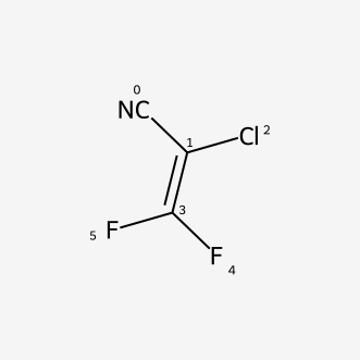 N#CC(Cl)=C(F)F